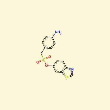 Nc1ccc(CS(=O)(=O)Oc2ccc3ncsc3c2)cc1